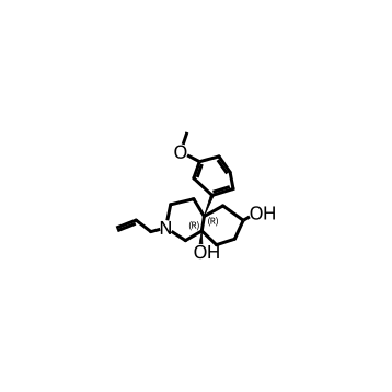 C=CCN1CC[C@]2(c3cccc(OC)c3)CC(O)CC[C@]2(O)C1